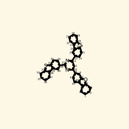 c1ccc2c(c1)oc1cc(-c3cc(-c4ccc5sc6ccccc6c5c4)nc(-c4ccc5sc6ccccc6c5c4)n3)ccc12